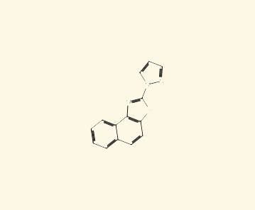 c1ccc2c(c1)ccc1[nH]c(-n3cccn3)nc12